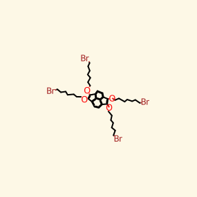 BrCCCCCCCOC1=C(OCCCCCCCBr)c2ccc3c4c(ccc1c24)C(OCCCCCCCBr)=C3OCCCCCCCBr